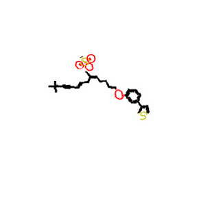 CC(C)(C)C#C/C=C/C/C(=C\CCCCOc1cccc(-c2ccsc2)c1)COS(C)(=O)=O